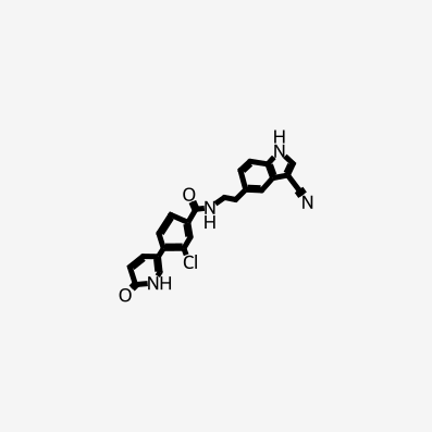 N#Cc1c[nH]c2ccc(CCNC(=O)c3ccc(-c4ccc(=O)[nH]c4)c(Cl)c3)cc12